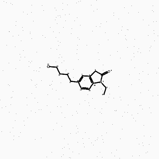 CCN1C(=O)Cc2cc(CCCCCl)ccc21